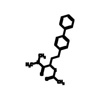 CC(=O)SC(CCc1ccc(-c2ccccc2)cc1)C(=O)N(C)C